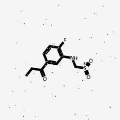 CCC(=O)c1ccc(F)c(NC[SH](=O)=O)c1